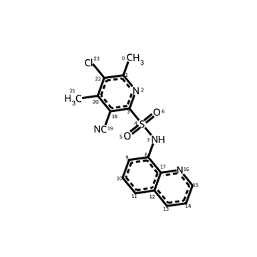 Cc1nc(S(=O)(=O)Nc2cccc3cccnc23)c(C#N)c(C)c1Cl